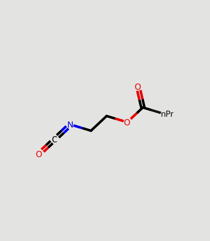 CCCC(=O)OCCN=C=O